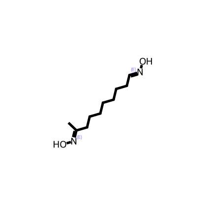 C/C(CCCCCCC/C=N/O)=N\O